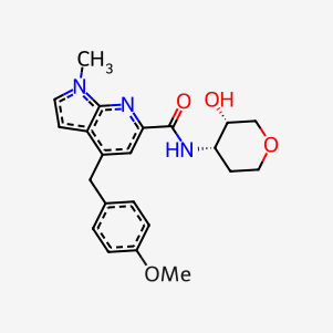 COc1ccc(Cc2cc(C(=O)N[C@H]3CCOC[C@H]3O)nc3c2ccn3C)cc1